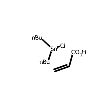 C=CC(=O)O.CCC[CH2][Sn]([Cl])[CH2]CCC